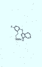 CNCCc1cc(F)ccc1Sc1c[nH]c2ccccc12